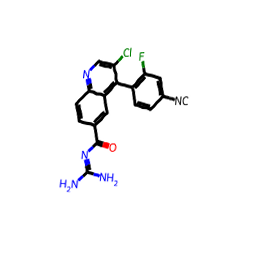 [C-]#[N+]c1ccc(-c2c(Cl)cnc3ccc(C(=O)N=C(N)N)cc23)c(F)c1